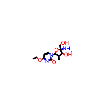 CCOc1ccn(C2OC(N)(CO)C(O)C2C)c(=O)n1